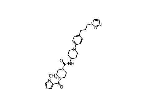 Cn1cccc1C(=O)N1CCN(C(=O)NC2CCN(c3ccc(CCCn4ccnn4)cc3)CC2)CC1